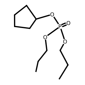 CCCOP(=O)(OCCC)OC1CCCC1